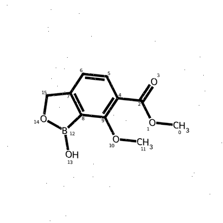 COC(=O)c1ccc2c(c1OC)B(O)OC2